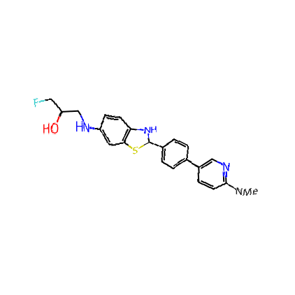 CNc1ccc(-c2ccc(C3Nc4ccc(NCC(O)CF)cc4S3)cc2)cn1